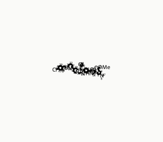 COC(=O)C1CC(N(C)C)CN1C(=O)[C@H](C)NC(=O)c1ccc2c(c1)nc(CN1CCC(c3cccc(OCc4ccc(Cl)cc4F)n3)CC1)n2C[C@@H]1CCO1